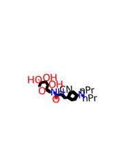 CCCN(CCC)c1ccc(/C=C(\C#N)C(=O)N/C=C2/OC[C@H](O)[C@@H](O)[C@@H]2O)cc1